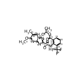 COc1nc2nc(S(=O)(=O)Nc3c(C(=O)OC(C)C)cccc3C(F)(F)F)nn2cc1C